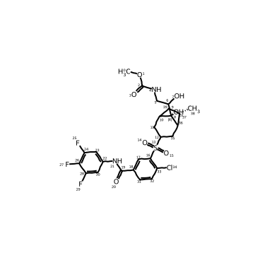 COC(=O)NCC(O)[C@@]1(O)C2CC(S(=O)(=O)c3cc(C(=O)Nc4cc(F)c(F)c(F)c4)ccc3Cl)CC1[C@@H](C)C2